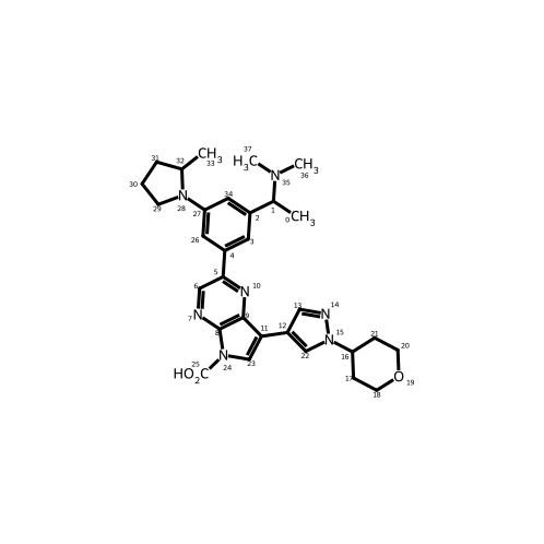 CC(c1cc(-c2cnc3c(n2)c(-c2cnn(C4CCOCC4)c2)cn3C(=O)O)cc(N2CCCC2C)c1)N(C)C